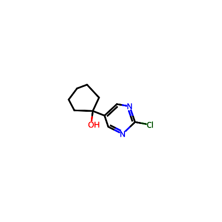 OC1(c2cnc(Cl)nc2)CCCCC1